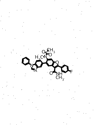 CNC(=O)c1c(-c2ccc(F)cc2)oc2cc(N(C)S(C)(=O)=O)c(-c3ccc4c(c3)ncn4-c3ccccc3)cc12